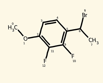 COc1ccc(C(C)Br)c(F)c1F